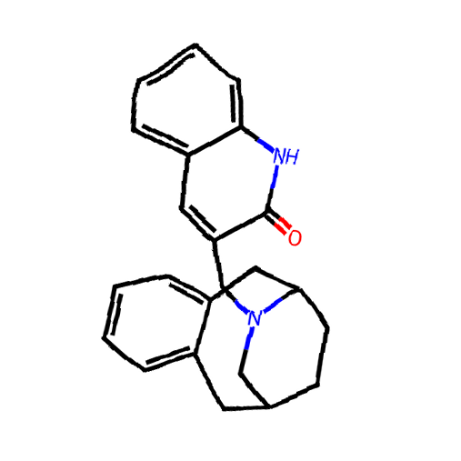 O=c1[nH]c2ccccc2cc1CN1CC2CCC1Cc1ccccc1C2